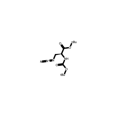 CCCCOC(=O)[C@H](CN=[N+]=[N-])NC(=O)OC(C)(C)C